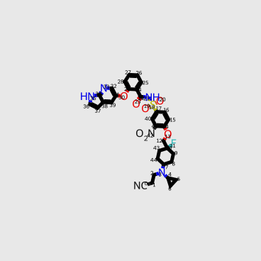 N#CCCN(C1CC1)C1CCC(F)(COc2ccc(S(=O)(=O)NC(=O)c3ccccc3Oc3cnc4[nH]ccc4c3)cc2[N+](=O)[O-])CC1